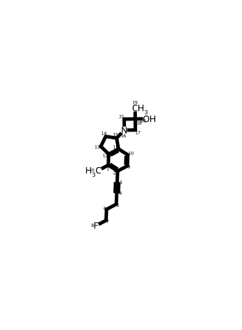 Cc1c(C#CCCCF)ccc2c1CCC2N1CC(C)(O)C1